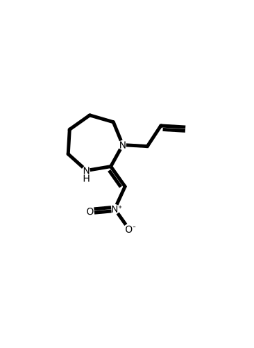 C=CCN1CCCCNC1=C[N+](=O)[O-]